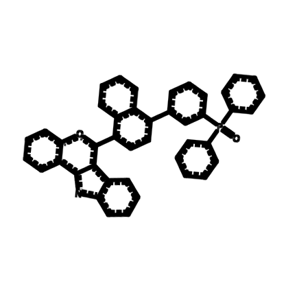 O=P(c1ccccc1)(c1ccccc1)c1cccc(-c2ccc(-c3oc4ccccc4c4nc5ccccc5c3-4)c3ccccc23)c1